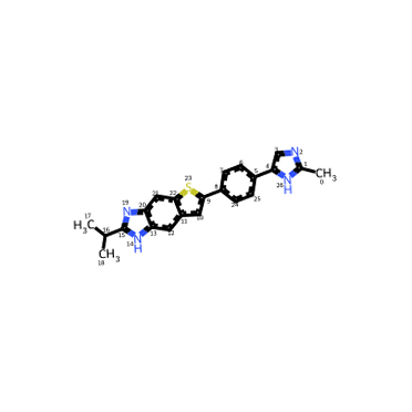 Cc1ncc(-c2ccc(-c3cc4cc5[nH]c(C(C)C)nc5cc4s3)cc2)[nH]1